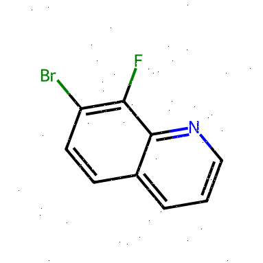 Fc1c(Br)ccc2cccnc12